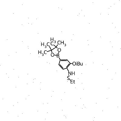 CCSNc1ccc(B2OC(C)(C)C(C)(C)O2)cc1OCC(C)C